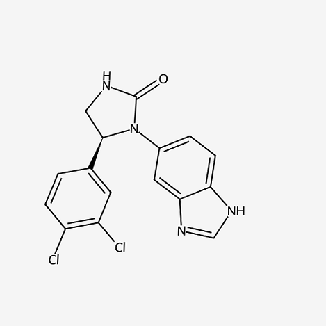 O=C1NC[C@H](c2ccc(Cl)c(Cl)c2)N1c1ccc2[nH]cnc2c1